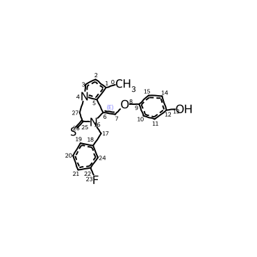 Cc1ccn2c1/C(=C\Oc1ccc(O)cc1)N(Cc1cccc(F)c1)C(=S)C2